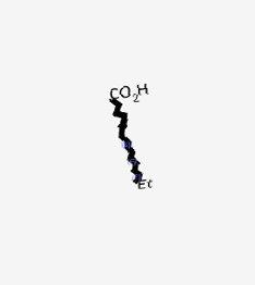 CC/C=C/C/C=C/C/C=C/CC#CCCCCC(=O)O